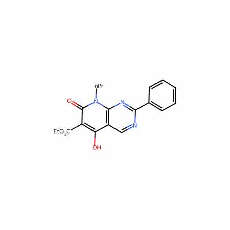 CCCn1c(=O)c(C(=O)OCC)c(O)c2cnc(-c3ccccc3)nc21